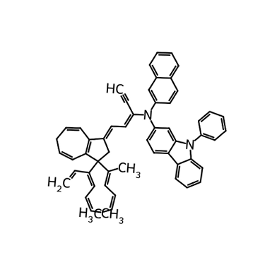 C#C/C(=C\C=C1/CC(/C(C)=C/C=C\C)(/C(C=C)=C/C=C\C)C2=C1C=CCC=C2)N(c1ccc2ccccc2c1)c1ccc2c3ccccc3n(-c3ccccc3)c2c1